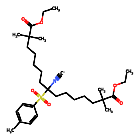 [C-]#[N+]C(CCCCCC(C)(C)C(=O)OCC)(CCCCCC(C)(C)C(=O)OCC)S(=O)(=O)c1ccc(C)cc1